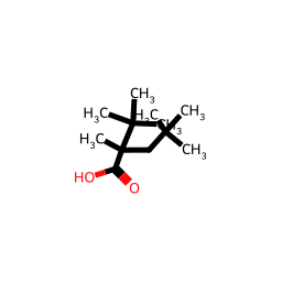 CC(C)(C)CC(C)(C(=O)O)C(C)(C)C